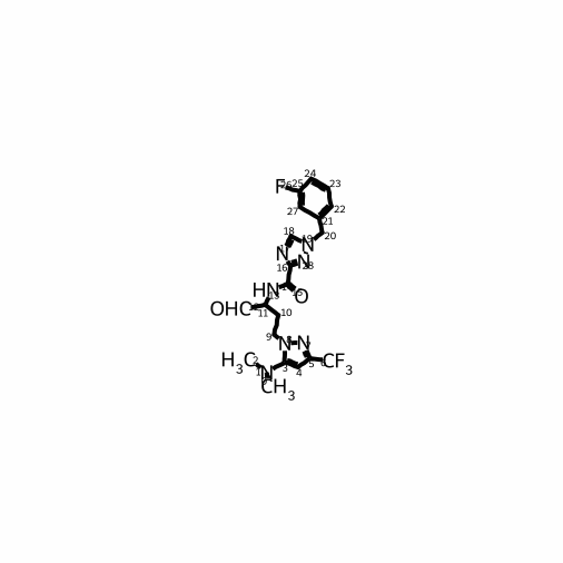 CN(C)c1cc(C(F)(F)F)nn1CCC(C=O)NC(=O)c1ncn(Cc2cccc(F)c2)n1